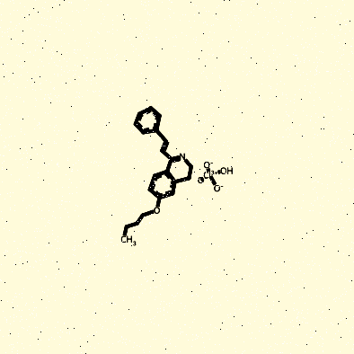 CCCCOc1ccc2c(c1)CCN=C2/C=C/c1ccccc1.[O-][Cl+3]([O-])([O-])O